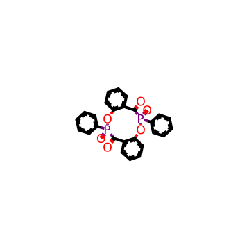 O=C1c2ccccc2OP(=O)(c2ccccc2)C(=O)c2ccccc2OP1(=O)c1ccccc1